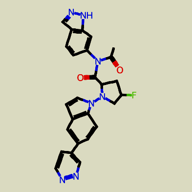 CC(=O)N(C(=O)C1CC(F)CN1n1ccc2cc(-c3ccnnc3)ccc21)c1ccc2cn[nH]c2c1